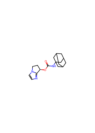 O=C(NC12CC3CC(CC(C3)C1)C2)O[C@@H]1CCn2ccnc21